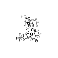 O=C(O)CN(CCCOc1cc(C(F)(F)F)ccc1-c1cc(=O)c2cccc(Cl)c2o1)S(=O)(=O)c1ccccc1